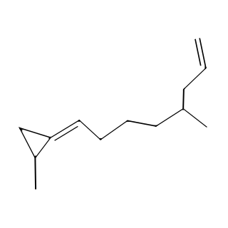 C=CCC(C)CCCC=C1CC1C